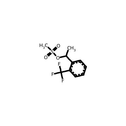 CC(OS(C)(=O)=O)c1ccccc1C(F)(F)F